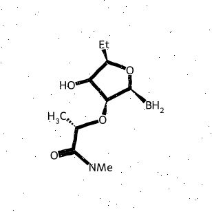 B[C@@H]1O[C@H](CC)C(O)[C@@H]1O[C@@H](C)C(=O)NC